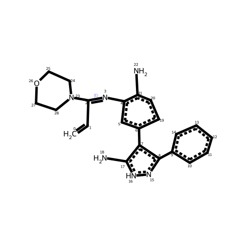 C=C/C(=N\c1cc(-c2c(-c3ccccc3)n[nH]c2N)ccc1N)N1CCOCC1